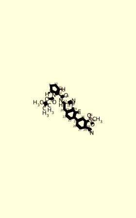 CC(C)(C)OC(=O)N1[C@@H]2CC[C@@H](C2)[C@H]1C(=O)N[C@H](C#N)Cc1ccc(-c2ccc(C#N)c(S(C)(=O)=O)c2)c(F)c1F